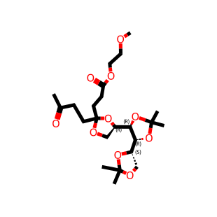 COCCOC(=O)CCC1(CCC(C)=O)OC[C@H]([C@H]2OC(C)(C)O[C@@H]2[C@@H]2COC(C)(C)O2)O1